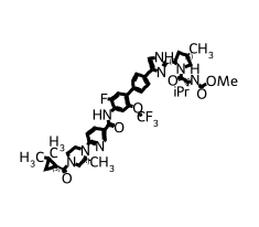 COC(=O)N[C@H](C(=O)N1C[C@@H](C)C[C@H]1c1nc(-c2ccc(-c3cc(F)c(NC(=O)c4ccc(N5CCN(C(=O)[C@H]6CC6(C)C)C[C@H]5C)nc4)cc3OC(F)(F)F)cc2)c[nH]1)C(C)C